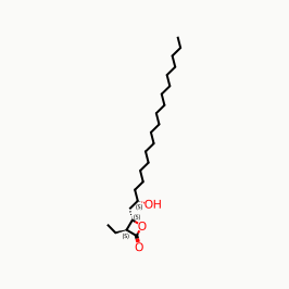 CCCCCCCCCCCCCCCCC[C@H](O)C[C@@H]1OC(=O)[C@H]1CC